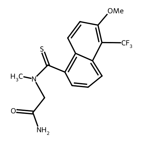 COc1ccc2c(C(=S)N(C)CC(N)=O)cccc2c1C(F)(F)F